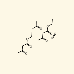 CC(C)=O.CCOC(=O)CC(C)=O.CCOC(=O)CC(C)=O.[O]=[Ti]